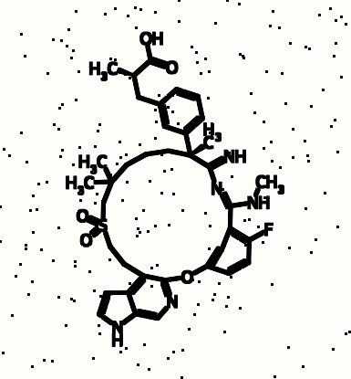 CN/C1=N\C(=N)[C@@](C)(c2cccc(C[C@@H](C)C(=O)O)c2)CCCC(C)(C)CS(=O)(=O)CCc2c(ncc3[nH]ccc23)Oc2ccc(F)c1c2